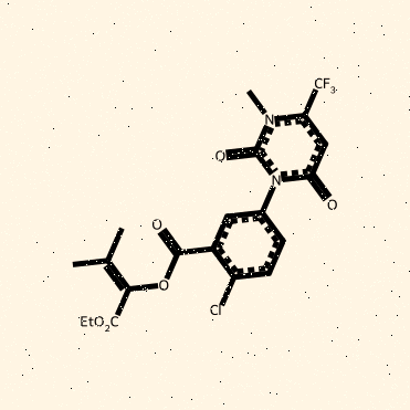 CCOC(=O)C(OC(=O)c1cc(-n2c(=O)cc(C(F)(F)F)n(C)c2=O)ccc1Cl)=C(C)C